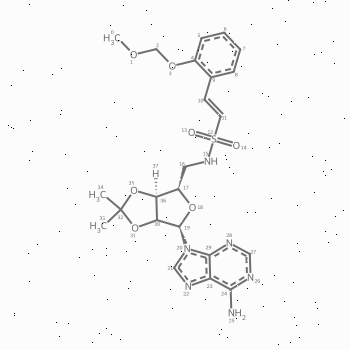 COCOc1ccccc1/C=C/S(=O)(=O)NC[C@H]1O[C@@H](n2cnc3c(N)ncnc32)C2OC(C)(C)O[C@H]21